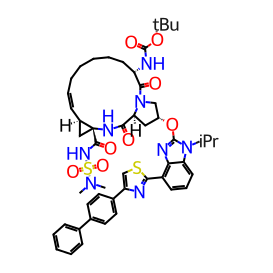 CC(C)n1c(O[C@@H]2C[C@H]3C(=O)N[C@]4(C(=O)NS(=O)(=O)N(C)C)C[C@H]4/C=C\CCCCC[C@H](NC(=O)OC(C)(C)C)C(=O)N3C2)nc2c(-c3nc(-c4ccc(-c5ccccc5)cc4)cs3)cccc21